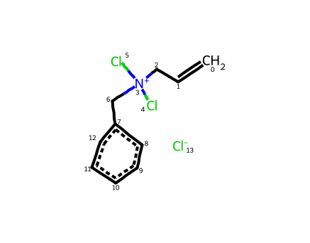 C=CC[N+](Cl)(Cl)Cc1ccccc1.[Cl-]